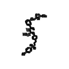 CC(C)(C)c1csc(COc2cccc(C(=S)NC(Oc3ccc(CCCS(=O)(=O)c4ccc(Cl)cc4)cc3)C(=O)O)c2)n1